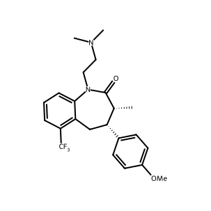 COc1ccc([C@@H]2Cc3c(cccc3C(F)(F)F)N(CCN(C)C)C(=O)[C@@H]2C)cc1